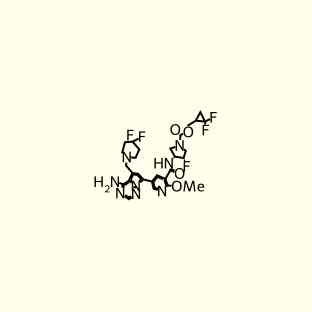 COc1ncc(-c2cc(CN3CCC(F)(F)CC3)c3c(N)ncnn23)cc1C(=O)N[C@@H]1CN(C(=O)OCC2CC2(F)F)C[C@@H]1F